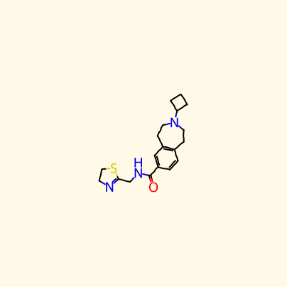 O=C(NCC1=NCCS1)c1ccc2c(c1)CCN(C1CCC1)CC2